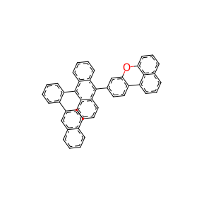 c1ccc(-c2c3ccccc3c(-c3ccc4c(c3)Oc3cccc5cccc-4c35)c3ccccc23)c(-c2ccc3ccccc3c2)c1